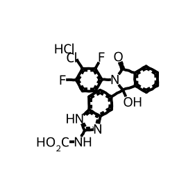 Cl.O=C(O)Nc1nc2cc(C3(O)c4ccccc4C(=O)N3c3ccc(F)c(Cl)c3F)ccc2[nH]1